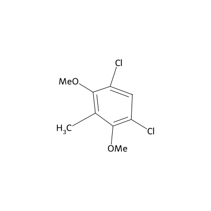 COc1c(Cl)cc(Cl)c(OC)c1C